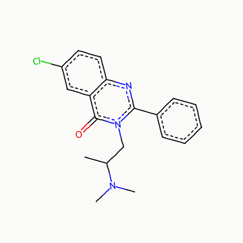 CC(Cn1c(-c2ccccc2)nc2ccc(Cl)cc2c1=O)N(C)C